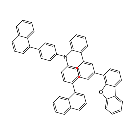 c1cc(-c2ccccc2N(c2ccc(-c3cccc4ccccc34)cc2)c2ccc(-c3cccc4ccccc34)cc2)cc(-c2cccc3c2oc2ccccc23)c1